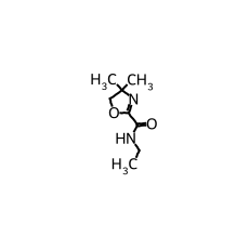 CCNC(=O)C1=NC(C)(C)CO1